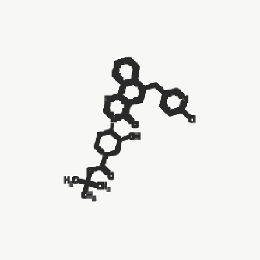 CC(C)(C)OC(=O)N1CC[C@H](n2cnc3c(cc(Cc4ccc(Cl)nc4)c4ccccc43)c2=O)[C@@H](O)C1